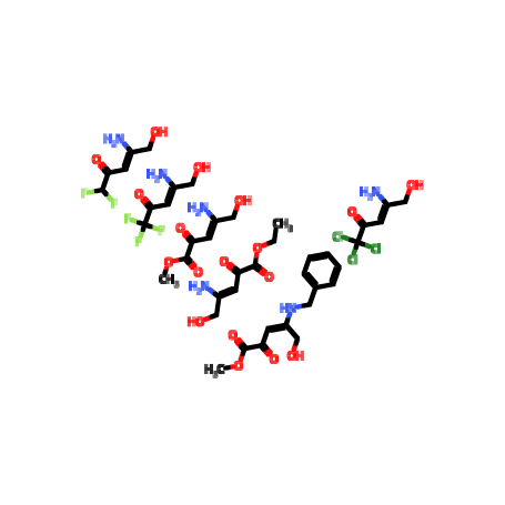 CCOC(=O)C(=O)C=C(N)CO.COC(=O)C(=O)C=C(CO)NCc1ccccc1.COC(=O)C(=O)C=C(N)CO.NC(=CC(=O)C(Cl)(Cl)Cl)CO.NC(=CC(=O)C(F)(F)F)CO.NC(=CC(=O)C(F)F)CO